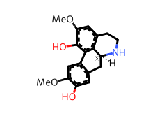 COc1cc2c(cc1O)C[C@@H]1NCCc3cc(OC)c(O)c-2c31